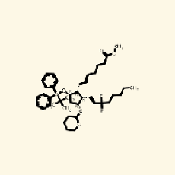 CCCCCC(F)(F)C=C[C@H]1[C@@H](CC=CCCCC(=O)OC)[C@H](O[Si](c2ccccc2)(c2ccccc2)C(C)(C)C)C[C@H]1OC1CCCCO1